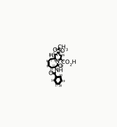 CS(=O)(=O)N1C[C@@H]2CC=CC[C@H](NC(=O)c3ccccc3)C(=O)N2[C@H](C(=O)O)C1